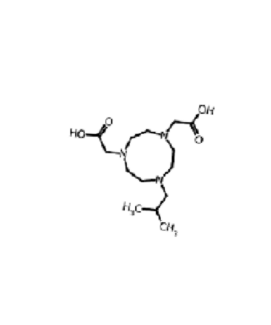 CC(C)CN1CCN(CC(=O)O)CCN(CC(=O)O)CC1